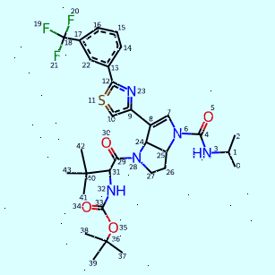 CC(C)NC(=O)N1C=C(c2csc(-c3cccc(C(F)(F)F)c3)n2)C2C1CCN2C(=O)C(NC(=O)OC(C)(C)C)C(C)(C)C